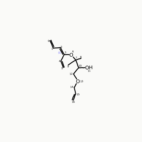 C=C/C=C(\C=C)OC(C)(C)C(O)COCC=C